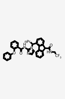 CCCC(c1cccc2c1-c1ccccc1C2C(=O)NCC(F)(F)F)n1ccnc1NC(=O)c1ccccc1Oc1ccccc1